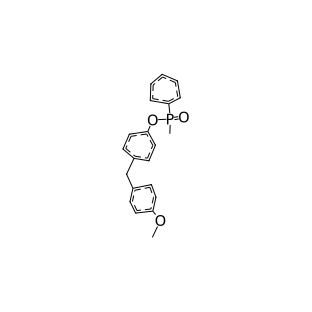 COc1ccc(Cc2ccc(OP(C)(=O)c3ccccc3)cc2)cc1